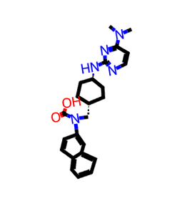 CN(C)c1ccnc(N[C@H]2CC[C@@H](CN(C(=O)O)c3ccc4ccccc4c3)CC2)n1